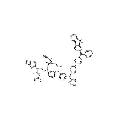 CSC(=S)SC(C)C(CCC1CC2(C)C(CC(C)C3(C)c4cc1ccc4-c1ccc(N(c4ccccc4)c4ccc(-c5ccc(N(c6ccccc6)c6ccc7c(c6)C(C)(C)c6ccccc6-7)cc5)cc4)cc13)C2(C)C#N)c1ccc2c(c1)CC2